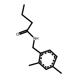 CCCC(=O)NCc1ccc(C)cc1C